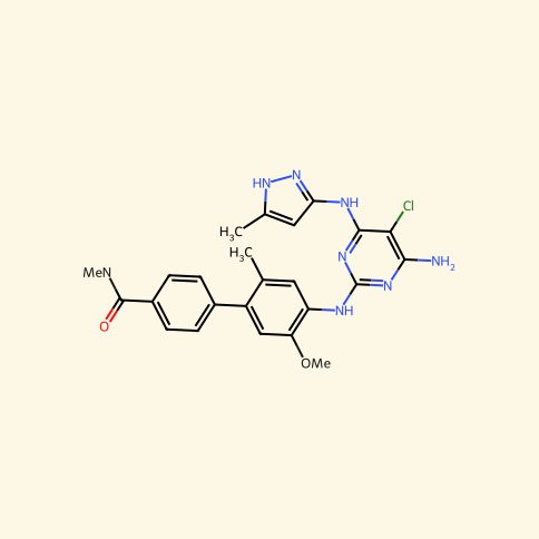 CNC(=O)c1ccc(-c2cc(OC)c(Nc3nc(N)c(Cl)c(Nc4cc(C)[nH]n4)n3)cc2C)cc1